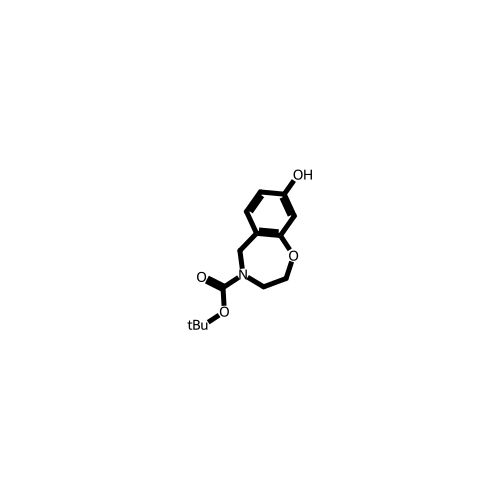 CC(C)(C)OC(=O)N1CCOc2cc(O)ccc2C1